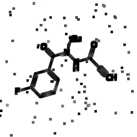 C#CC(=O)NN(C(=O)c1cccc(F)c1)C(C)(C)C